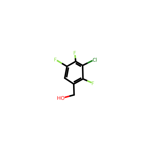 OCc1cc(F)c(F)c(Cl)c1F